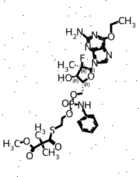 CCOc1nc(N)nc2c1ncn2[C@@H]1O[C@H](COP(=O)(Nc2ccccc2)OCCSC(=O)C(C)(C)C(=O)OC)[C@@H](O)[C@@]1(C)F